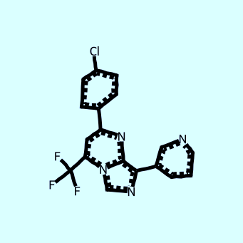 FC(F)(F)c1cc(-c2ccc(Cl)cc2)nc2c(-c3cccnc3)ncn12